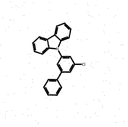 Clc1cc(-c2ccccc2)cc(-n2c3ccccc3c3ccccc32)c1